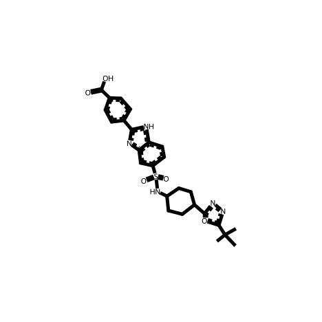 CC(C)(C)c1nnc(C2CCC(NS(=O)(=O)c3ccc4[nH]c(-c5ccc(C(=O)O)cc5)nc4c3)CC2)o1